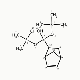 C[Si](C)(C)O[Si](O)(O[Si](C)(C)C)C1CC2C=CC1C2